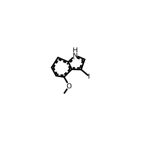 COc1cccc2[nH]cc(I)c12